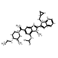 C=C(c1cc(OC(F)F)c2c(c1)nc(-c1cc3cccnc3n1CC1CC1)n2C)N1CC[C@@H](CCN)C(C)C1